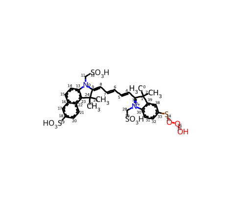 CC1(C)C(C=CC=CC=C2N(CS(=O)(=O)O)c3ccc4cc(S(=O)(=O)O)ccc4c3C2(C)C)=[N+](CS(=O)(=O)O)c2ccc(SOOO)cc21